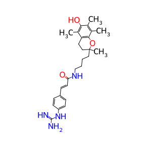 Cc1c(C)c2c(c(C)c1O)CCC(C)(CCCCNC(=O)C=Cc1ccc(NC(=N)N)cc1)O2